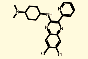 CN(C)C1CCC(Nc2nc3cc(Cl)c(Cl)cc3nc2-c2ccccn2)CC1